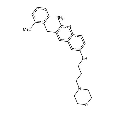 COc1ccccc1Cc1cc2cc(NCCCN3CCOCC3)ccc2nc1N